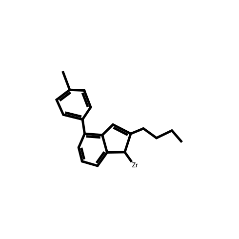 CCCCC1=Cc2c(-c3ccc(C)cc3)cccc2[CH]1[Zr]